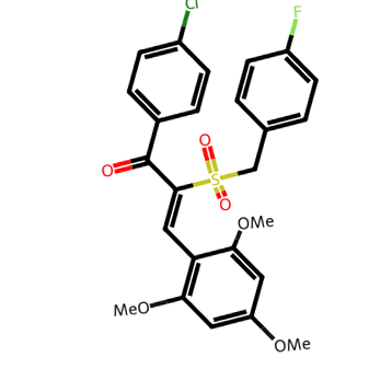 COc1cc(OC)c(C=C(C(=O)c2ccc(Cl)cc2)S(=O)(=O)Cc2ccc(F)cc2)c(OC)c1